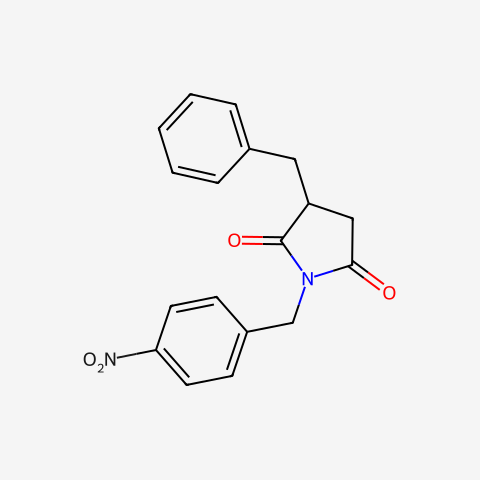 O=C1CC(Cc2ccccc2)C(=O)N1Cc1ccc([N+](=O)[O-])cc1